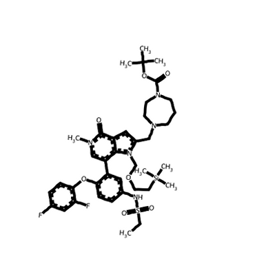 CCS(=O)(=O)Nc1ccc(Oc2ccc(F)cc2F)c(-c2cn(C)c(=O)c3cc(CN4CCCN(C(=O)OC(C)(C)C)CC4)n(COCC[Si](C)(C)C)c23)c1